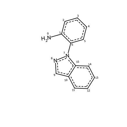 Nc1ccccc1-n1ncc2ccccc21